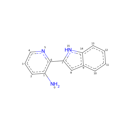 Nc1cccnc1-c1cc2ccccc2[nH]1